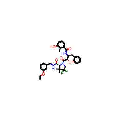 CCOc1cccc(CNC(=O)[C@H]2N(C(=O)[C@@H](O)[C@H](Cc3ccccc3)NC(=O)c3cccc(O)c3C)CC(F)(F)C2(C)C)c1